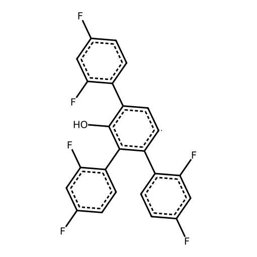 Oc1c(-c2ccc(F)cc2F)c[c]c(-c2ccc(F)cc2F)c1-c1ccc(F)cc1F